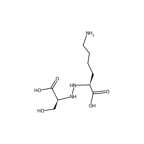 NCCCC[C@H](NN[C@@H](CO)C(=O)O)C(=O)O